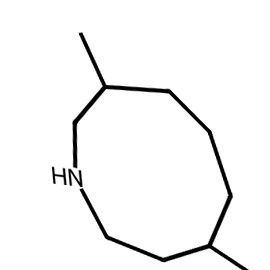 CC1CCCC(C)CNCC1